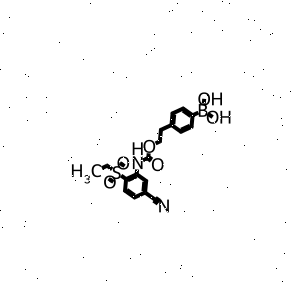 CCS(=O)(=O)c1ccc(C#N)cc1NC(=O)OCCc1ccc(B(O)O)cc1